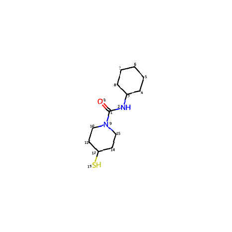 O=C(NC1CCCCC1)N1CCC(S)CC1